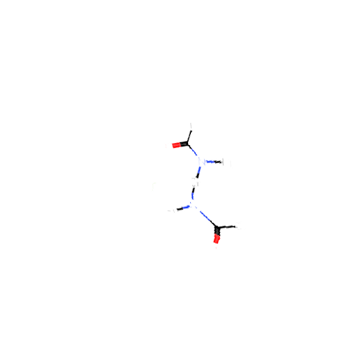 CCC(=O)[N](CC)[Zr+2][N](CC)C(=O)CC.[F-].[F-]